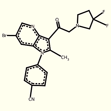 Cc1c(C(=O)CN2CCC(F)(F)C2)c2ncc(Br)cc2n1-c1ccc(C#N)cc1